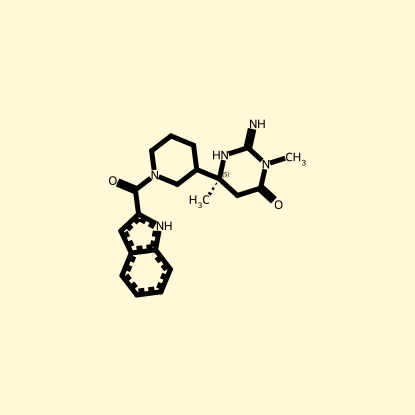 CN1C(=N)N[C@](C)(C2CCCN(C(=O)c3cc4ccccc4[nH]3)C2)CC1=O